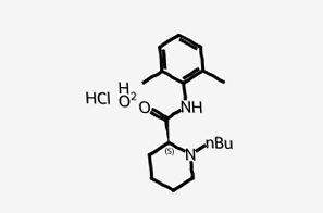 CCCCN1CCCC[C@H]1C(=O)Nc1c(C)cccc1C.Cl.O